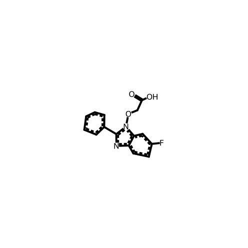 O=C(O)COn1c(-c2ccccc2)nc2ccc(F)cc21